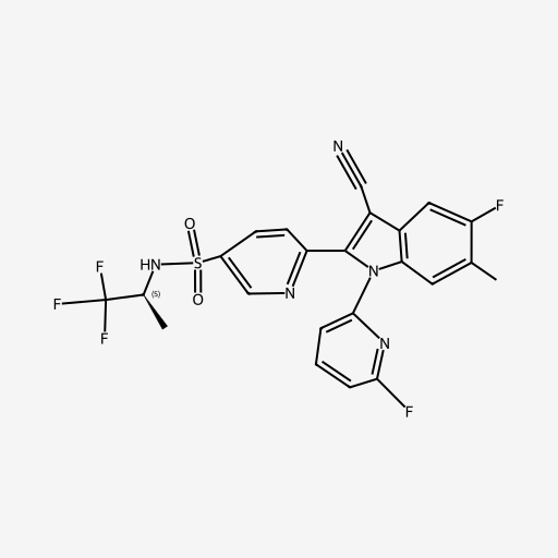 Cc1cc2c(cc1F)c(C#N)c(-c1ccc(S(=O)(=O)N[C@@H](C)C(F)(F)F)cn1)n2-c1cccc(F)n1